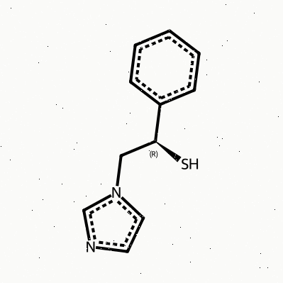 S[C@@H](Cn1ccnc1)c1ccccc1